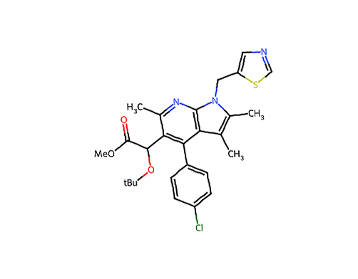 COC(=O)C(OC(C)(C)C)c1c(C)nc2c(c(C)c(C)n2Cc2cncs2)c1-c1ccc(Cl)cc1